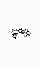 COC(=O)C1(C)ON=CC1COc1cc(C(=O)Nc2c(Cl)cncc2Cl)ccc1OC